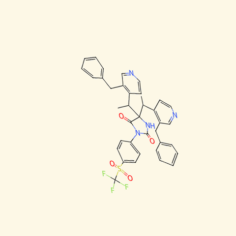 CC(c1ccncc1Cc1ccccc1)C1(C(C)c2ccncc2Cc2ccccc2)NC(=O)N(c2ccc(S(=O)(=O)C(F)(F)F)cc2)C1=O